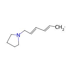 [CH2]C=CC=CCN1CCCC1